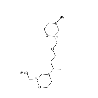 COC[C@@H]1CN(C(C)CCOC[C@H]2CN(C(C)C)CCO2)CCO1